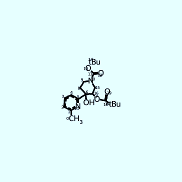 Cc1cccc(C2(O)CCN(C(=O)OC(C)(C)C)CC2OC(=O)C(C)(C)C)n1